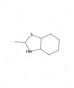 CC1NC2CCCCC2S1